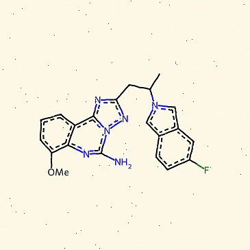 COc1cccc2c1nc(N)n1nc(CC(C)n3cc4ccc(F)cc4c3)nc21